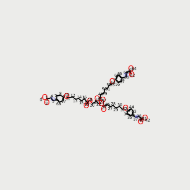 COC(=O)/C=C/c1ccc(OCCCCCCC(=O)OCC(COC(=O)CCCCCCOc2ccc(/C=C/C(=O)OC)cc2)OC(=O)CCCCCCOc2ccc(/C=C/C(=O)OC)cc2)cc1